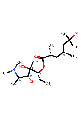 CC[C@@H](OC(=O)[C@H](C)C[C@H](C)CC(C)(C)O)[C@@](C)(O)[C@H](O)[C@@H](C)N(C)C